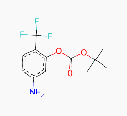 CC(C)(C)OC(=O)Oc1cc(N)ccc1C(F)(F)F